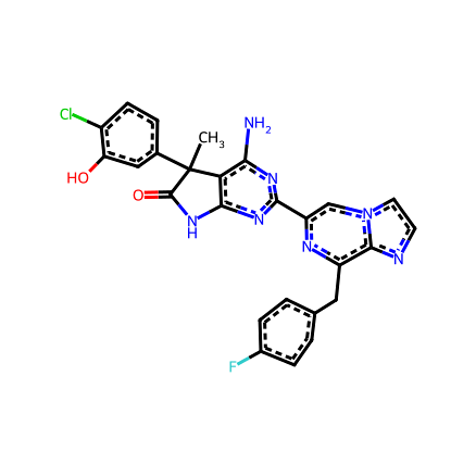 CC1(c2ccc(Cl)c(O)c2)C(=O)Nc2nc(-c3cn4ccnc4c(Cc4ccc(F)cc4)n3)nc(N)c21